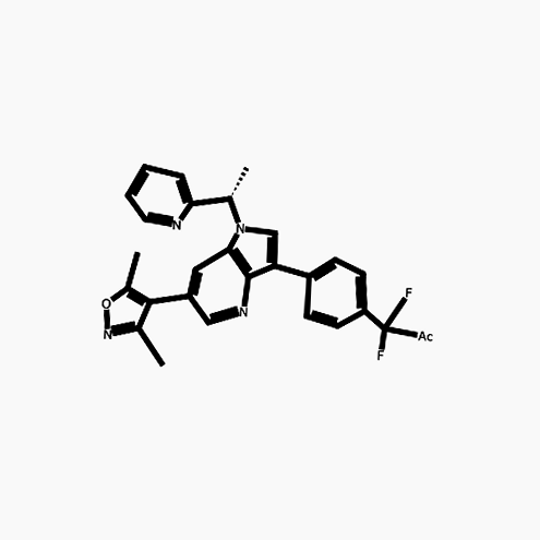 CC(=O)C(F)(F)c1ccc(-c2cn([C@@H](C)c3ccccn3)c3cc(-c4c(C)noc4C)cnc23)cc1